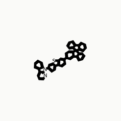 c1ccc2c(c1)-c1ccccc1C21c2ccccc2-c2cc(-c3ccc4c(c3)sc3cc(-n5c6ccccc6c6cccnc65)ccc34)ccc21